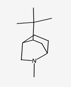 CN1CC2CCC1CC2C(C)(C)C